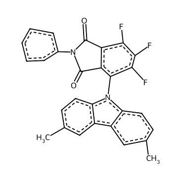 Cc1ccc2c(c1)c1cc(C)ccc1n2-c1c(F)c(F)c(F)c2c1C(=O)N(c1ccccc1)C2=O